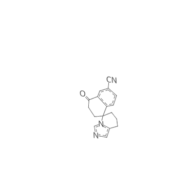 N#Cc1ccc2c(c1)C(=O)CCC21CCCc2cncn21